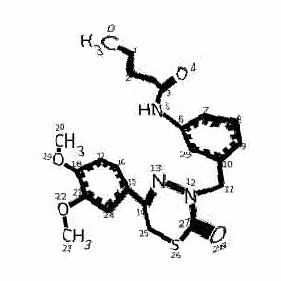 CCCC(=O)Nc1cccc(CN2N=C(c3ccc(OC)c(OC)c3)CSC2=O)c1